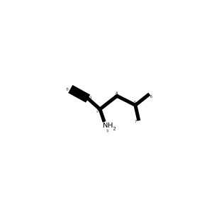 C#CC(N)CC(C)C